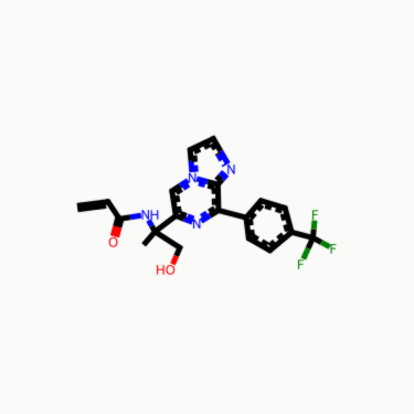 C=CC(=O)NC(C)(CO)c1cn2ccnc2c(-c2ccc(C(F)(F)F)cc2)n1